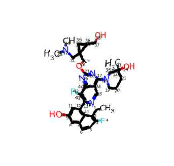 CCc1c(F)ccc2cc(O)cc(-c3ncc4c(N5CCC[C@@](C)(O)C5)nc(OCC5(CN(C)C)CC5CO)nc4c3F)c12